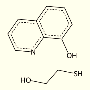 OCCS.Oc1cccc2cccnc12